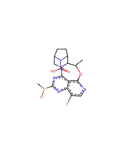 CC1Oc2ncc(F)c3nc([S+](C)[O-])nc(c23)N2CC3CCC(C12)N3C(=O)O